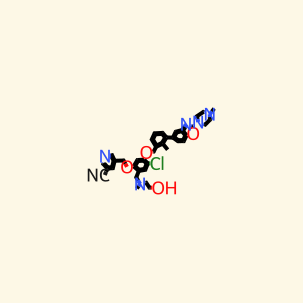 Cc1c(COc2cc(OCc3cncc(C#N)c3)c(CN(C)CCO)cc2Cl)cccc1-c1ccc2oc(N3CCN(C)CC3)nc2c1